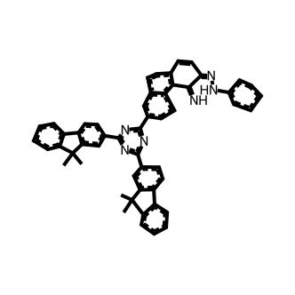 CC1(C)c2ccccc2-c2ccc(-c3nc(-c4ccc5c(c4)C(C)(C)c4ccccc4-5)nc(-c4ccc5c6c(ccc5c4)C=C/C(=N/Nc4ccccc4)C6=N)n3)cc21